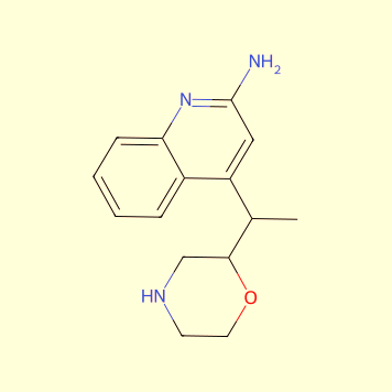 CC(c1cc(N)nc2ccccc12)C1CNCCO1